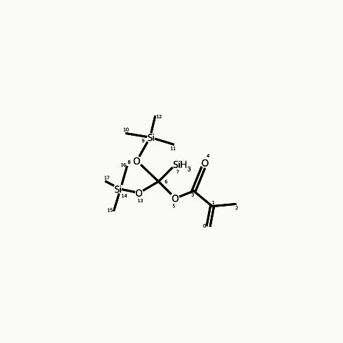 C=C(C)C(=O)OC([SiH3])(O[Si](C)(C)C)O[Si](C)(C)C